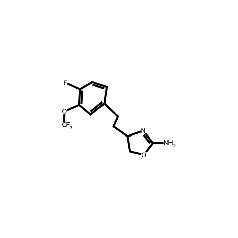 NC1=NC(CCc2ccc(F)c(OC(F)(F)F)c2)CO1